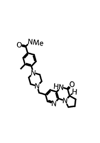 CNC(=O)c1ccc(N2CCN(Cc3cnc4c(c3)NC(=O)[C@@H]3CCCN43)CC2)c(C)c1